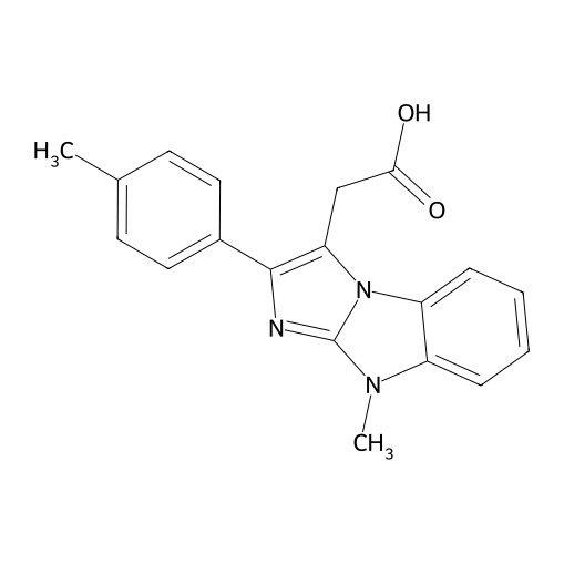 Cc1ccc(-c2nc3n(C)c4ccccc4n3c2CC(=O)O)cc1